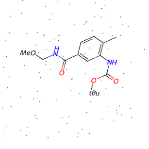 COCNC(=O)c1ccc(C)c(NC(=O)OC(C)(C)C)c1